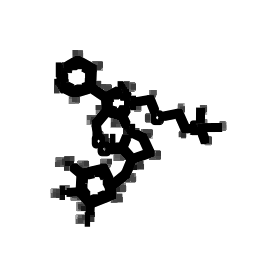 C[Si](C)(C)CCOCn1nc(-c2ccnnc2)c(CO)c1N1CCC(Cc2cc(F)c(F)c(F)c2)C1=O